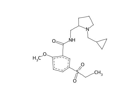 CCS(=O)(=O)c1ccc(OC)c(C(=O)NCC2CCCN2CC2CC2)c1